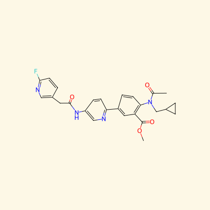 COC(=O)c1cc(-c2ccc(NC(=O)Cc3ccc(F)nc3)cn2)ccc1N(CC1CC1)C(C)=O